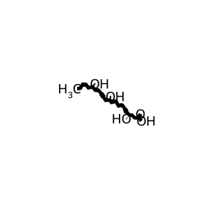 CC/C=C\C[C@@H](O)/C=C/C#CC[C@@H](O)/C=C/C=C/C#C[C@@H](O)CCC(=O)O